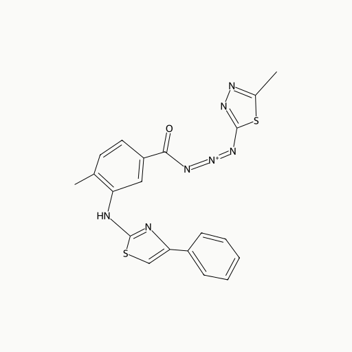 Cc1nnc(N=[N+]=NC(=O)c2ccc(C)c(Nc3nc(-c4ccccc4)cs3)c2)s1